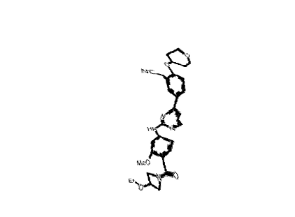 CCOC1CN(C(=O)c2ccc(Nc3nccc(-c4ccc(OC5CCOCC5)c(C#N)c4)n3)cc2OC)C1